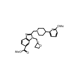 COC(=O)c1ccc2nc(CN3CCC(c4cccc(OC)n4)CC3)n(C[C@@H]3CCO3)c2c1